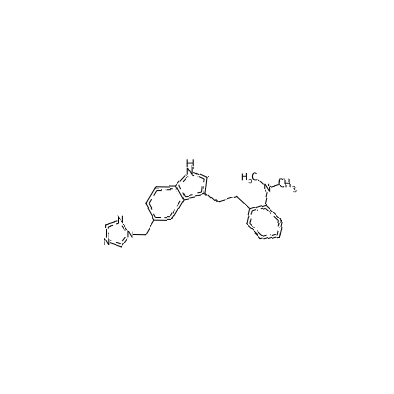 CN(C)c1ccccc1CCc1c[nH]c2ccc(Cn3cncn3)cc12